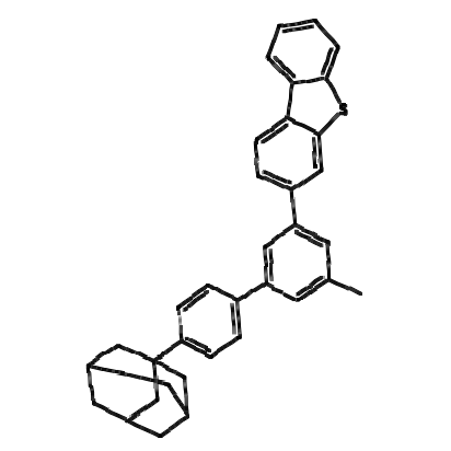 Cc1cc(-c2ccc(C34CC5CC(CC(C5)C3)C4)cc2)cc(-c2ccc3c(c2)sc2ccccc23)c1